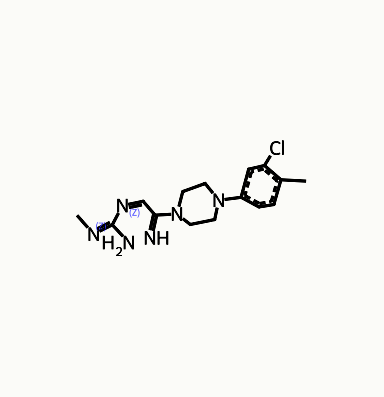 C/N=C(N)\N=C/C(=N)N1CCN(c2ccc(C)c(Cl)c2)CC1